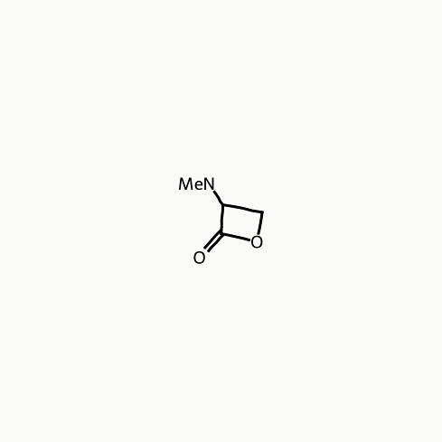 CNC1COC1=O